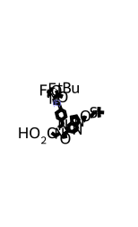 CC(C)(C)OC(=O)N(/C=C/C1CCC(N2CN(CC(=O)O)C(=O)c3cnc4c(ccn4COCC[Si](C)(C)C)c32)CC1)CC(F)F